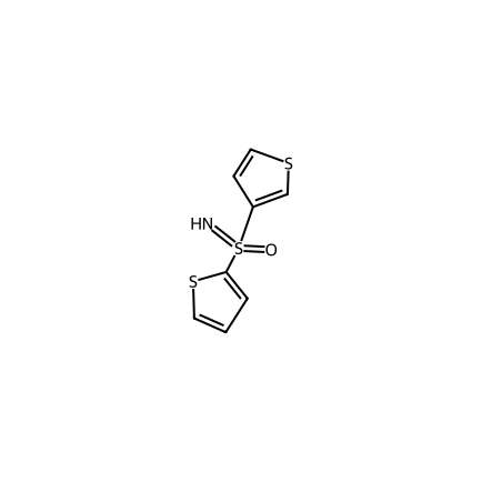 N=S(=O)(c1ccsc1)c1cccs1